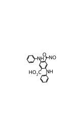 O=NC(=O)c1cc(Nc2ccccc2)c(C(=O)O)cc1Nc1ccccc1